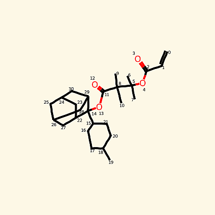 C=CC(=O)OC(C)(C)C(C)(C)C(=O)OC1(C2CCC(C)CC2)C2CC3CC(C2)CC1C3